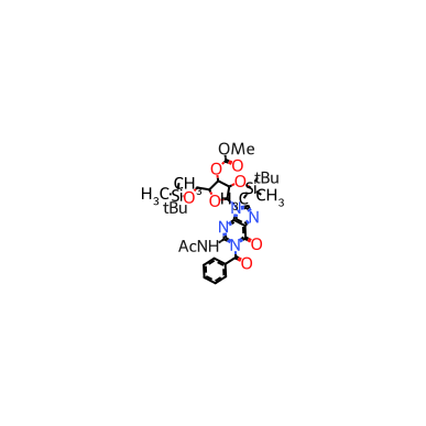 COC(=O)OC1C(CO[Si](C)(C)C(C)(C)C)OC(n2cnc3c(=O)n(C(=O)c4ccccc4)c(NC(C)=O)nc32)C1O[Si](C)(C)C(C)(C)C